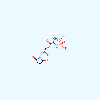 CCOP(=O)(NC(C)C(=O)NCC(=O)ON1C(=O)CCC1=O)OCC